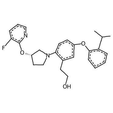 CC(C)c1ccccc1Oc1ccc(N2CC[C@H](Oc3ncccc3F)C2)c(CCO)c1